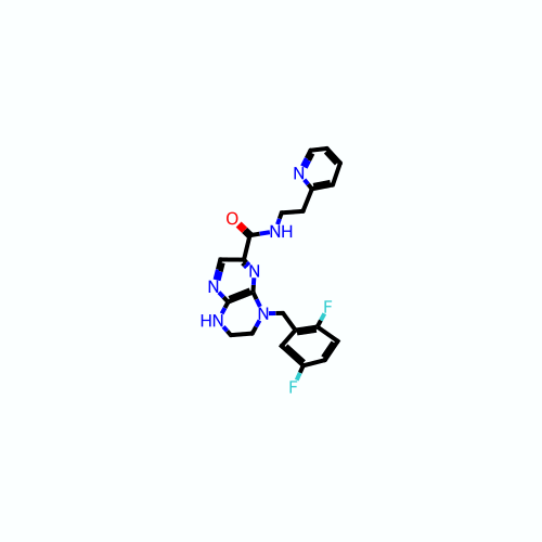 O=C(NCCc1ccccn1)c1cnc2c(n1)N(Cc1cc(F)ccc1F)CCN2